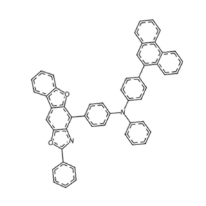 c1ccc(-c2nc3c(-c4ccc(N(c5ccccc5)c5ccc(-c6cc7ccccc7c7ccccc67)cc5)cc4)c4oc5ccccc5c4cc3o2)cc1